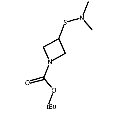 CN(C)SC1CN(C(=O)OC(C)(C)C)C1